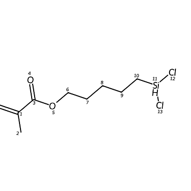 C=C(C)C(=O)OCCCCC[SiH](Cl)Cl